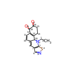 CCN1c2sncc2C=C2C=CC3=C(CCC(=O)C3=O)C21